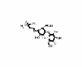 C[Si](C)(C)CCO[C@H]1O[C@H](CO)[C@@H](O[C@@H]2O[C@H](CO)[C@H](O)[C@H](O)[C@H]2O)[C@H](O)[C@H]1O